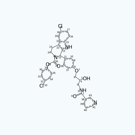 O=C(NCC(O)COc1ccc(C2c3[nH]c4ccc(Cl)cc4c3CCN2C(=O)Oc2ccc(Cl)cc2)cc1)c1cccnc1